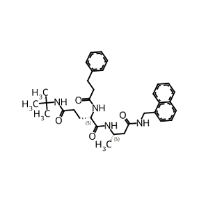 C[C@@H](CC(=O)NCc1cccc2ccccc12)NC(=O)[C@H](CCC(=O)NC(C)(C)C)NC(=O)CCc1ccccc1